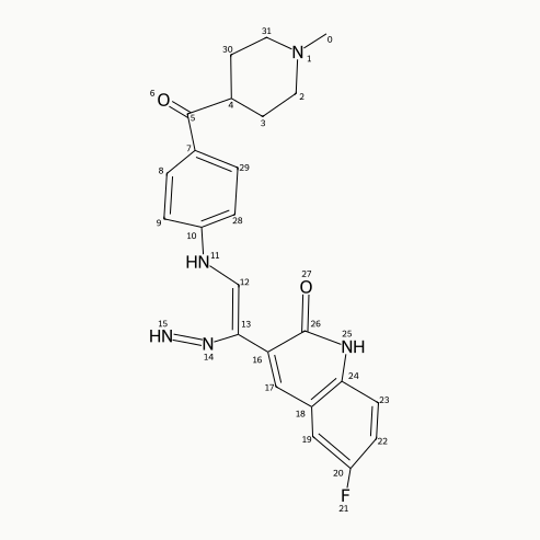 CN1CCC(C(=O)c2ccc(N/C=C(\N=N)c3cc4cc(F)ccc4[nH]c3=O)cc2)CC1